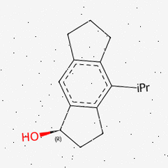 CC(C)c1c2c(cc3c1CC[C@H]3O)CCC2